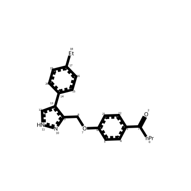 CCCC(=O)c1ccc(OCc2n[nH]cc2-c2ccc(CC)cc2)cc1